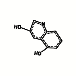 Oc1cnc2cccc(O)c2c1